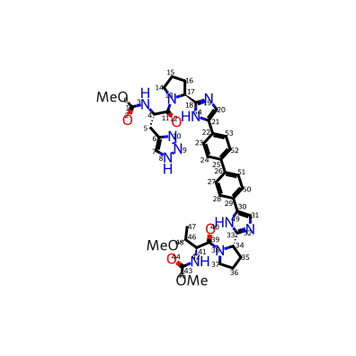 COC(=O)N[C@@H](Cc1c[nH]nn1)C(=O)N1CCC[C@H]1c1ncc(-c2ccc(-c3ccc(-c4cnc([C@@H]5CCCN5C(=O)[C@@H](NC(=O)OC)[C@@H](C)OC)[nH]4)cc3)cc2)[nH]1